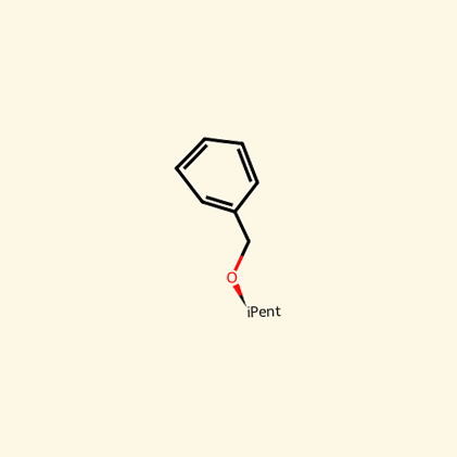 CCC[C@H](C)OCc1ccccc1